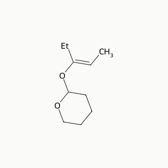 CC=C(CC)OC1CCCCO1